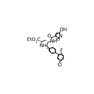 CCOC(=O)[C@@H](N)C[C@@H](Cc1ccc(-c2cc(Cl)ccc2F)cc1)NC(=O)c1cc(O)no1